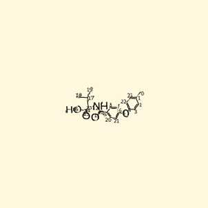 Cc1ccc(Oc2ccc(C(=O)N[C@H](C(=O)O)C(C)C)cc2)cc1